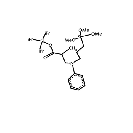 CO[Si](CCCN(CC(C)C(=O)O[Si](C(C)C)(C(C)C)C(C)C)c1ccccc1)(OC)OC